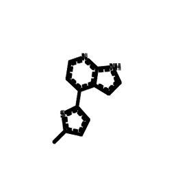 Cc1ccc(-c2ccnc3[nH]ccc23)s1